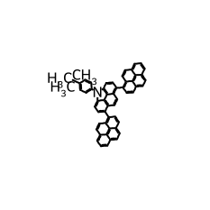 CC(C)(C)c1ccc(-n2c3ccc(-c4ccc5ccc6cccc7ccc4c5c67)c4ccc5c(-c6ccc7ccc8cccc9ccc6c7c89)ccc2c5c43)cc1